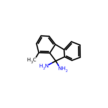 Cc1cccc2c1C(N)(N)c1ccccc1-2